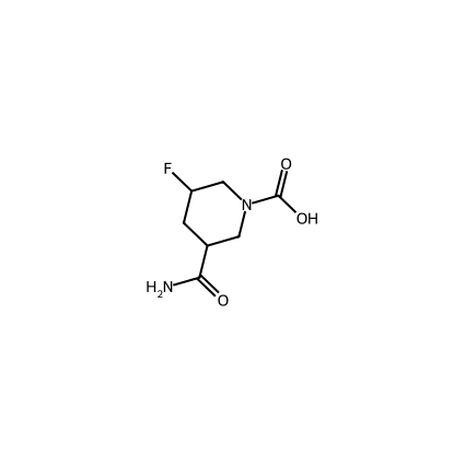 NC(=O)C1CC(F)CN(C(=O)O)C1